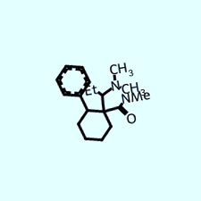 CCC(N(C)C)C1(C(=O)NC)CCCCC1c1ccccc1